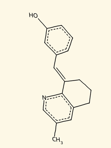 Cc1cnc2c(c1)CCCC2=Cc1cccc(O)c1